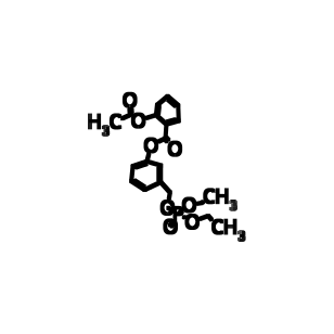 CCOP(=O)(OCC)OCc1cccc(OC(=O)c2ccccc2OC(C)=O)c1